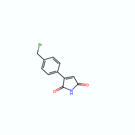 O=C1C=C(c2ccc(CBr)cc2)C(=O)N1